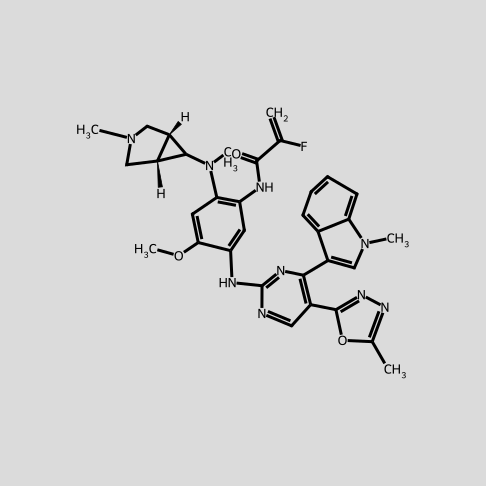 C=C(F)C(=O)Nc1cc(Nc2ncc(-c3nnc(C)o3)c(-c3cn(C)c4ccccc34)n2)c(OC)cc1N(C)C1[C@H]2CN(C)C[C@@H]12